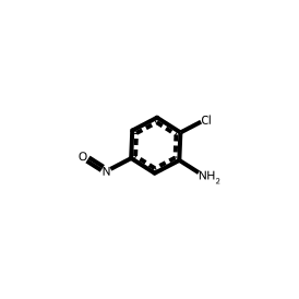 Nc1cc(N=O)ccc1Cl